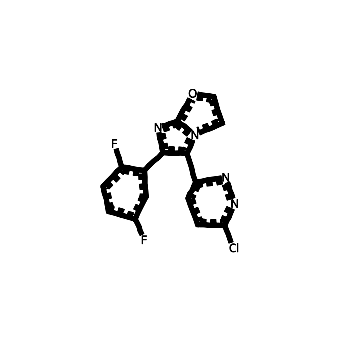 Fc1ccc(F)c(-c2nc3occn3c2-c2ccc(Cl)nn2)c1